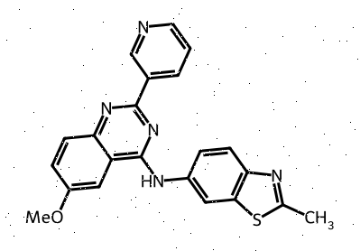 COc1ccc2nc(-c3cccnc3)nc(Nc3ccc4nc(C)sc4c3)c2c1